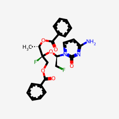 C[C@H](OC(=O)c1ccccc1)[C@@](F)(COC(=O)c1ccccc1)O[C@H](CF)n1ccc(N)nc1=O